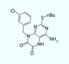 CCCCSc1nc(N)c2[nH]c(=O)c(=O)n(Cc3cccc(Cl)c3)c2n1